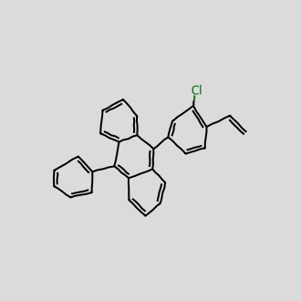 C=Cc1ccc(-c2c3ccccc3c(-c3ccccc3)c3ccccc23)cc1Cl